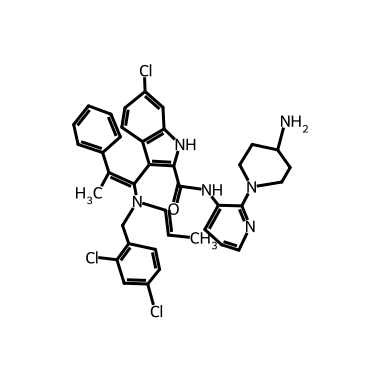 CC=CN(Cc1ccc(Cl)cc1Cl)/C(=C(\C)c1ccccc1)c1c(C(=O)Nc2cccnc2N2CCC(N)CC2)[nH]c2cc(Cl)ccc12